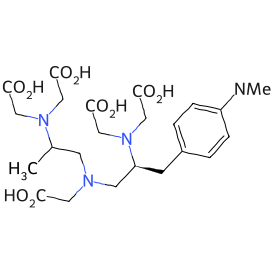 CNc1ccc(C[C@@H](CN(CC(=O)O)CC(C)N(CC(=O)O)CC(=O)O)N(CC(=O)O)CC(=O)O)cc1